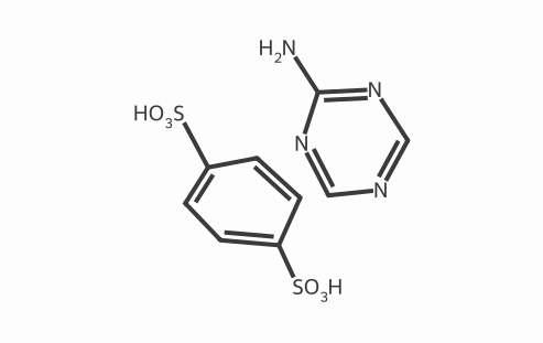 Nc1ncncn1.O=S(=O)(O)c1ccc(S(=O)(=O)O)cc1